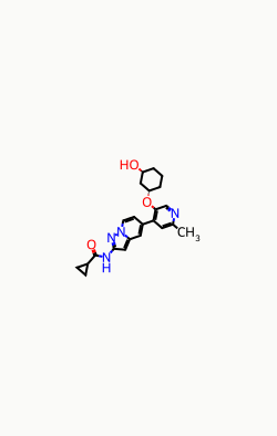 Cc1cc(-c2ccn3nc(NC(=O)C4CC4)cc3c2)c(O[C@H]2CCC[C@H](O)C2)cn1